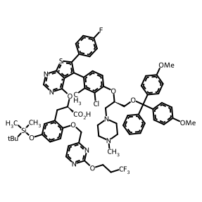 COc1ccc(C(OC[C@@H](CN2CCN(C)CC2)Oc2ccc(-c3c(-c4ccc(F)cc4)sc4ncnc(O[C@H](Cc5cc(O[Si](C)(C)C(C)(C)C)ccc5OCc5ccnc(OCCC(F)(F)F)n5)C(=O)O)c34)c(C)c2Cl)(c2ccccc2)c2ccc(OC)cc2)cc1